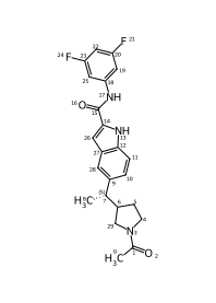 CC(=O)N1CCC([C@H](C)c2ccc3[nH]c(C(=O)Nc4cc(F)cc(F)c4)cc3c2)C1